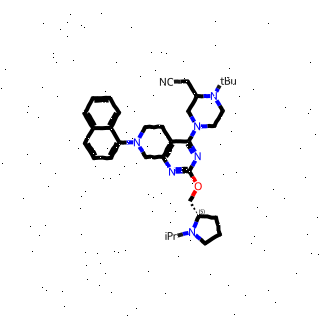 CC(C)N1CCC[C@H]1COc1nc2c(c(N3CCN(C(C)(C)C)C(CC#N)C3)n1)CCN(c1cccc3ccccc13)C2